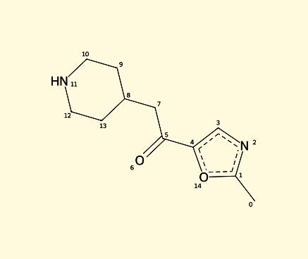 Cc1ncc(C(=O)CC2CCNCC2)o1